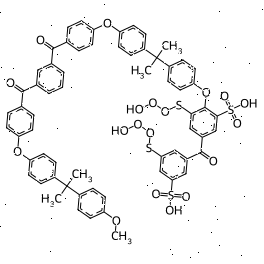 COc1ccc(C(C)(C)c2ccc(Oc3ccc(C(=O)c4cccc(C(=O)c5ccc(Oc6ccc(C(C)(C)c7ccc(Oc8c(SOOO)cc(C(=O)c9cc(SOOO)cc(S(=O)(=O)O)c9)cc8S(=O)(=O)O)cc7)cc6)cc5)c4)cc3)cc2)cc1